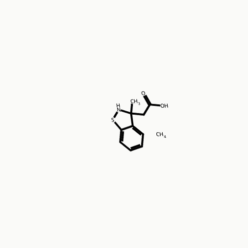 C.CC1(CC(=O)O)NSc2ccccc21